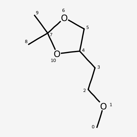 COCCC1COC(C)(C)O1